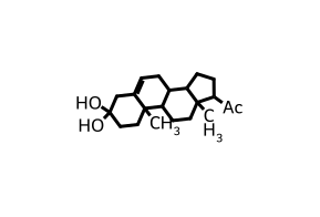 CC(=O)C1CCC2C3CC=C4CC(O)(O)CCC4(C)C3CCC12C